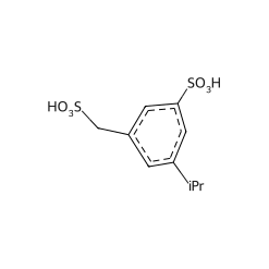 CC(C)c1cc(CS(=O)(=O)O)cc(S(=O)(=O)O)c1